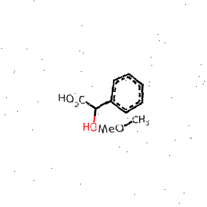 COC.O=C(O)C(O)c1ccccc1